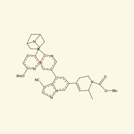 COc1ccc(CN2C3CC2CN(c2ccc(-c4cc(C5=CC(C)N(C(=O)OC(C)(C)C)CC5)cn5ncc(C#N)c45)cn2)C3)cn1